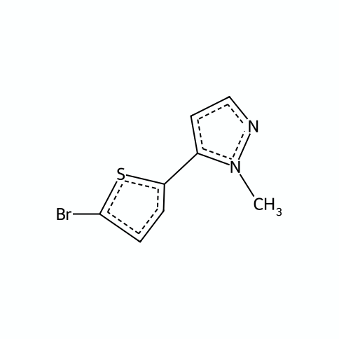 Cn1nccc1-c1ccc(Br)s1